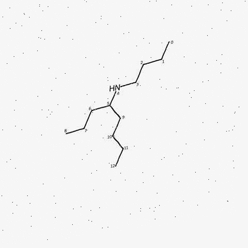 CCCCNC(CCC)CCCC